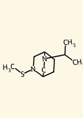 CSN1CC2CCC1CN2C(C)C